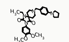 CCN1C(=O)N(c2ccc(OC)c(OC)c2)C(=O)C12CCN(Cc1ccc(N3CCCC3)cc1)CC2